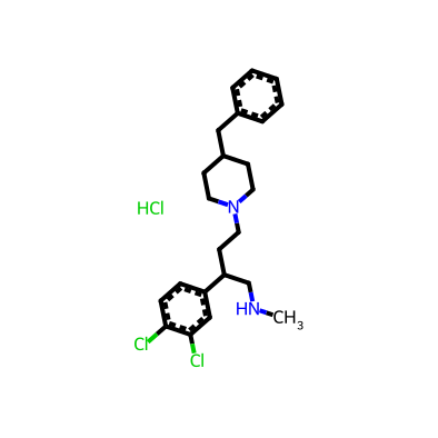 CNCC(CCN1CCC(Cc2ccccc2)CC1)c1ccc(Cl)c(Cl)c1.Cl